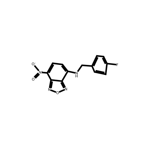 O=[N+]([O-])c1ccc(NCc2ccc(F)cc2)c2nonc12